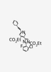 CCOC(=O)c1cc(C#CC2C=CC=CC2)ncc1-c1cn(C(=O)OCC)c(-c2c(F)cccc2Cl)n1